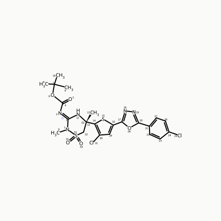 CN1/C(=N/C(=O)OC(C)(C)C)N[C@](C)(c2sc(-c3nnc(-c4ccc(Cl)cc4)o3)cc2Cl)CS1(=O)=O